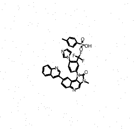 Cc1ccc(S(=O)(=O)O)cc1.Cn1c(=O)n(-c2ccc(-n3ccnc3)c(C(F)(F)F)c2)c2c3cc(-c4cnc5ccccc5c4)ccc3ncc21